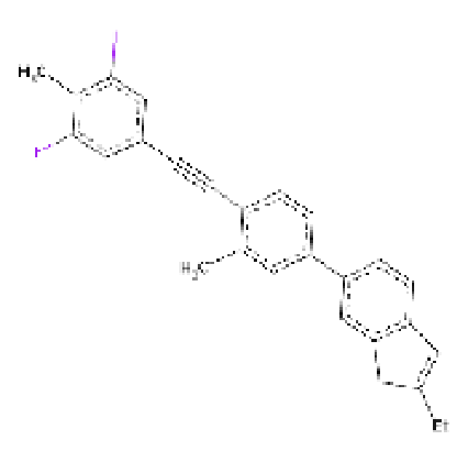 CCC1=Cc2ccc(-c3ccc(C#Cc4cc(I)c(C)c(I)c4)c(C)c3)cc2C1